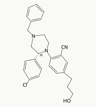 N#Cc1cc(CCCO)ccc1N1CCN(Cc2ccccc2)C[C@H]1c1ccc(Cl)cc1